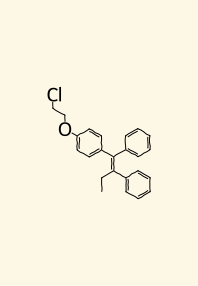 CCC(=C(c1ccccc1)c1ccc(OCCCl)cc1)c1ccccc1